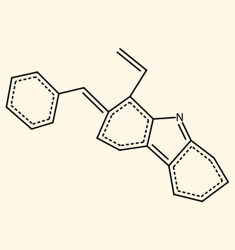 C=Cc1c2c(ccc1=Cc1ccccc1)=c1ccccc1=N2